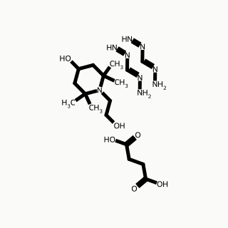 CC1(C)CC(O)CC(C)(C)N1CCO.N=NC=NN.N=NC=NN.O=C(O)CCC(=O)O